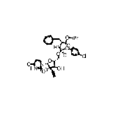 C#C[C@@]1(O)[C@H](O)[C@@H](COP(=O)(N[C@@H](Cc2ccccc2)C(=O)OC(C)C)Oc2ccc(Cl)cc2)O[C@H]1n1ccc(=O)[nH]c1=O